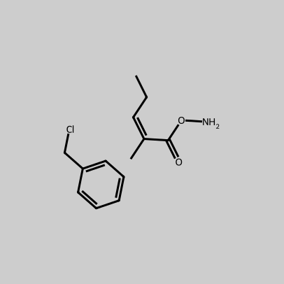 CCC=C(C)C(=O)ON.ClCc1ccccc1